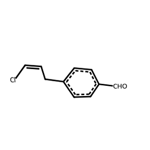 O=Cc1ccc(C/C=C\Cl)cc1